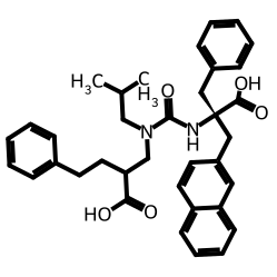 CC(C)CN(CC(CCc1ccccc1)C(=O)O)C(=O)N[C@@](Cc1ccccc1)(Cc1ccc2ccccc2c1)C(=O)O